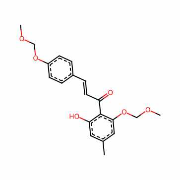 COCOc1ccc(/C=C/C(=O)c2c(O)cc(C)cc2OCOC)cc1